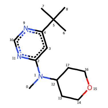 CN(c1cc(C(C)(C)C)ncn1)C1CCOCC1